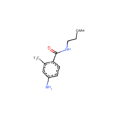 COCCNC(=O)c1ccc(N)cc1C(F)(F)F